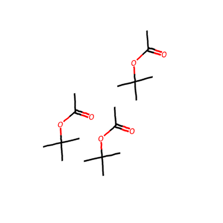 CC(=O)OC(C)(C)C.CC(=O)OC(C)(C)C.CC(=O)OC(C)(C)C